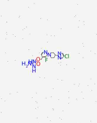 N=C(N)NC(=O)OCc1ccnc(N2CCC(c3ncc(Cl)cn3)CC2)c1F